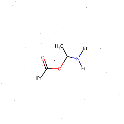 CCN(CC)C(C)OC(=O)C(C)C